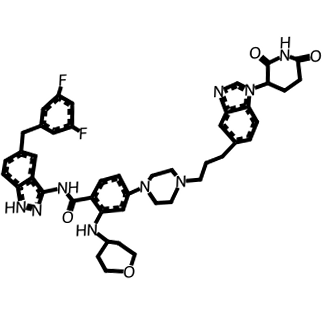 O=C1CCC(n2cnc3cc(CCCN4CCN(c5ccc(C(=O)Nc6n[nH]c7ccc(Cc8cc(F)cc(F)c8)cc67)c(NC6CCOCC6)c5)CC4)ccc32)C(=O)N1